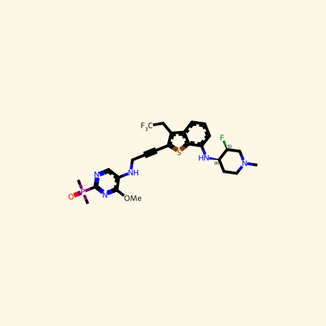 COc1nc(P(C)(C)=O)ncc1NCC#Cc1sc2c(N[C@@H]3CCN(C)C[C@@H]3F)cccc2c1CC(F)(F)F